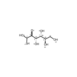 O=C(C(O)S)[C@@H](O)[C@H](O)[C@H](O)CO